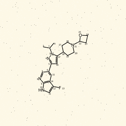 CC(C)n1nc(-c2cnc3[nH]cc(F)c3c2)cc1C1CCN(C2CCO2)CC1